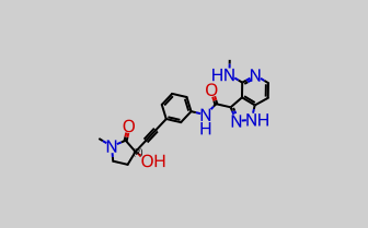 CNc1nccc2[nH]nc(C(=O)Nc3cccc(C#C[C@]4(O)CCN(C)C4=O)c3)c12